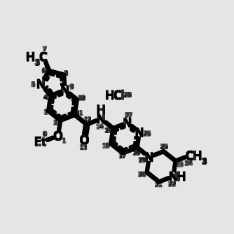 CCOc1cc2nc(C)cn2cc1C(=O)Nc1ccc(N2CCNC(C)C2)nn1.Cl